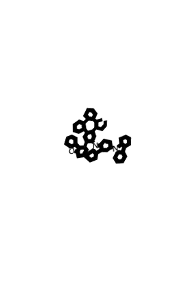 C/C=C\C1=C(/C)c2ccccc2-c2ccccc2-c2cc(-c3cccc4oc5ccccc5c34)c(-n3c4ccccc4c4cc(-n5c6ccccc6c6ccccc65)ccc43)cc21